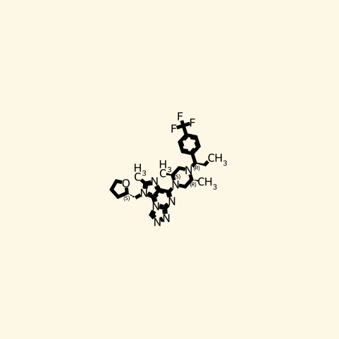 CC[C@H](c1ccc(C(F)(F)F)cc1)N1C[C@H](C)N(c2nc3nncn3c3c2nc(C)n3C[C@@H]2CCCO2)C[C@H]1C